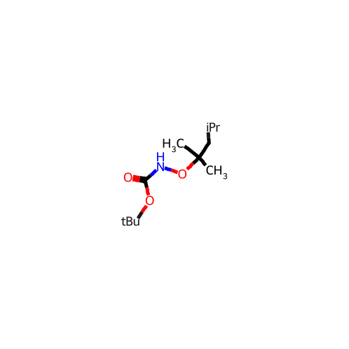 CC(C)CC(C)(C)ONC(=O)OC(C)(C)C